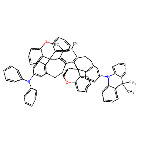 CC1(C)c2ccccc2N(c2ccc3c(c2)CCc2c(C#N)c(C#N)c4c(c2C32c3ccccc3Oc3ccccc32)CCc2cc(N(c3ccccc3)c3ccccc3)ccc2C42c3ccccc3Oc3ccccc32)c2ccccc21